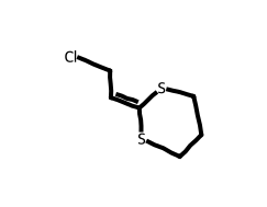 ClCC=C1SCCCS1